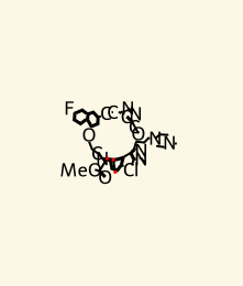 COC(=O)c1c(C)c2c3c(Cl)ccc2n1CCCOc1cc(cc2cc(F)ccc12)CCc1cc(nn1C)COC(CCN1CCN(C)CC1)c1nn(C)c(C)c1-3